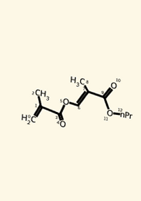 C=C(C)C(=O)OC=C(C)C(=O)OCCC